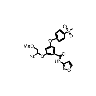 CCC(COC)Oc1cc(Oc2ccc(S(C)(=O)=O)cc2)cc(C(=O)Nc2ccon2)c1